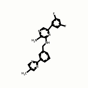 Cc1cnc(-c2cccc(CNc3nc(-c4cc(F)cc(F)c4)cnc3N)c2)nc1